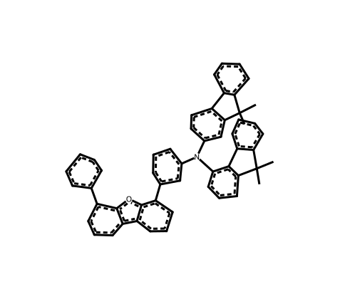 CC1(C)c2ccccc2-c2ccc(N(c3cccc(-c4cccc5c4oc4c(-c6ccccc6)cccc45)c3)c3cccc4c3-c3ccccc3C4(C)C)cc21